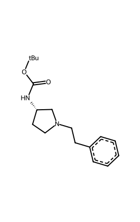 CC(C)(C)OC(=O)N[C@H]1CCN(CCc2ccccc2)C1